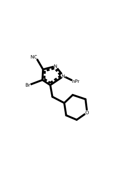 CCCn1nc(C#N)c(Br)c1CC1CCOCC1